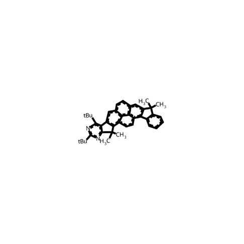 CC(C)(C)c1nc(C(C)(C)C)c2c(n1)C(C)(C)c1c-2cc2ccc3cc4c(c5ccc1c2c35)-c1ccccc1C4(C)C